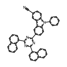 N#Cc1ccc2c(c1)c1cc(-c3nc(-c4cccc5ccccc45)nc(-c4cccc5ccccc45)n3)ccc1n2-c1ccccc1